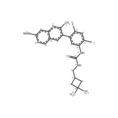 CNc1cc2nc(C)c(-c3cc(NC(=O)NCC4CC(C)(C)C4)c(F)cc3F)cc2cn1